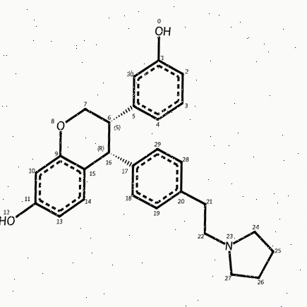 Oc1cccc([C@H]2COc3cc(O)ccc3[C@H]2c2ccc(CCN3CCCC3)cc2)c1